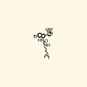 CCN(CC)CCCCNCC(=O)Nc1cc(-c2ccnc(NC)n2)cc2ccc(OC)cc12